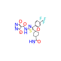 CNC(=O)C1CCC2(CC1)Oc1cc(C(F)(F)F)ccc1-c1nc(NC(=O)c3c(OC)ncnc3OC)sc12